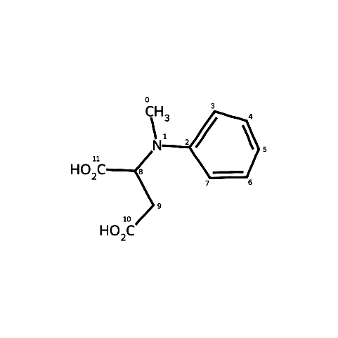 CN(c1ccccc1)C(CC(=O)O)C(=O)O